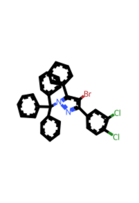 Clc1ccc(-c2nn(C(c3ccccc3)(c3ccccc3)c3ccccc3)c(-c3ccccc3)c2Br)cc1Cl